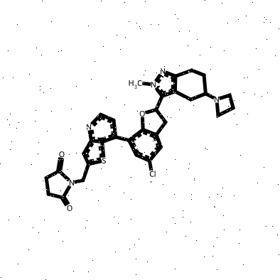 Cn1nc2c(c1C1Cc3cc(Cl)cc(-c4ccnc5cc(CN6C(=O)CCC6=O)sc45)c3O1)CC(N1CCC1)CC2